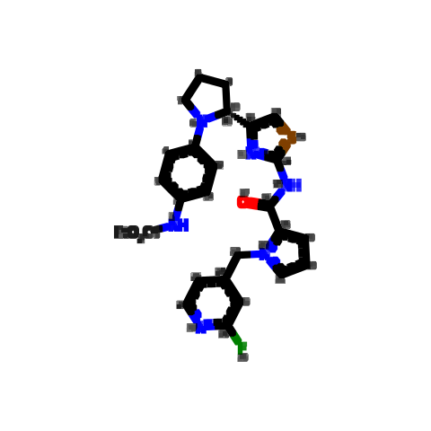 CCOC(=O)Nc1ccc(N2CCC[C@@H]2c2csc(NC(=O)c3cccn3Cc3ccnc(F)c3)n2)cc1